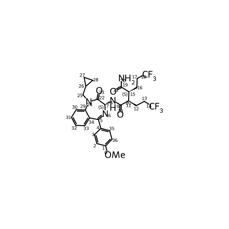 COc1ccc(C2=N[C@H](NC(=O)[C@H](CCC(F)(F)F)[C@H](CCC(F)(F)F)C(N)=O)C(=O)N(CC3CC3)c3ccccc32)cc1